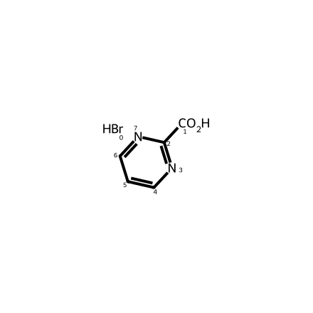 Br.O=C(O)c1ncccn1